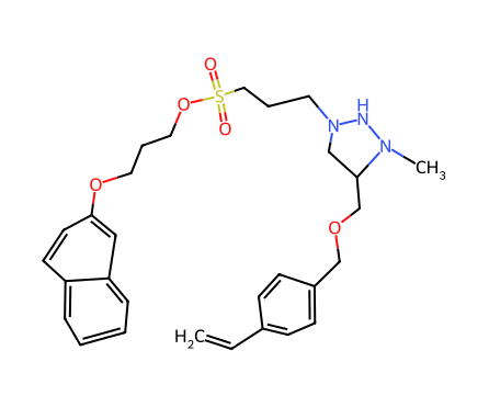 C=Cc1ccc(COCC2CN(CCCS(=O)(=O)OCCCOc3ccc4ccccc4c3)NN2C)cc1